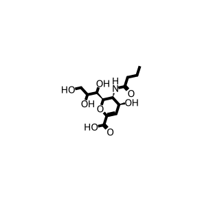 CCCC(=O)N[C@@H]1[C@@H](O)C=C(C(=O)O)O[C@H]1C(O)C(O)CO